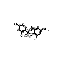 CC(C)(Oc1c(F)cc(N)cc1F)c1ncc(Cl)cc1Cl